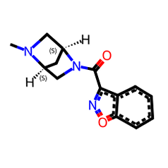 CN1C[C@@H]2C[C@H]1CN2C(=O)c1noc2ccccc12